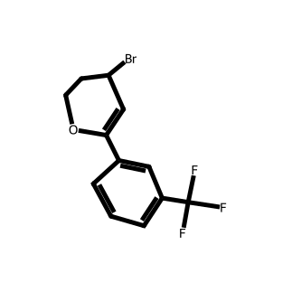 FC(F)(F)c1cccc(C2=CC(Br)CCO2)c1